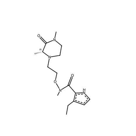 CCc1cc[nH]c1C(=O)N(C)OCCN1CCN(C)C(=O)[C@H]1C